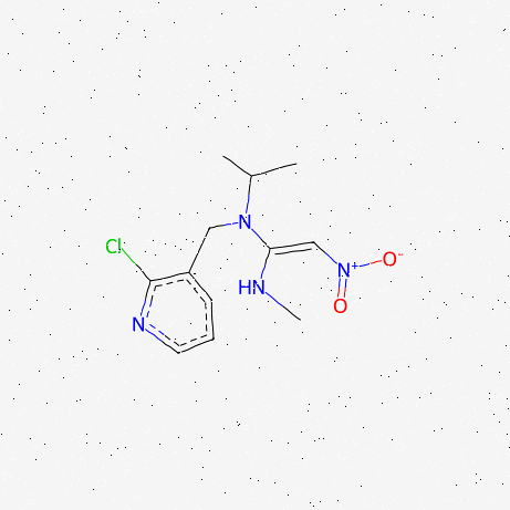 CNC(=C[N+](=O)[O-])N(Cc1cccnc1Cl)C(C)C